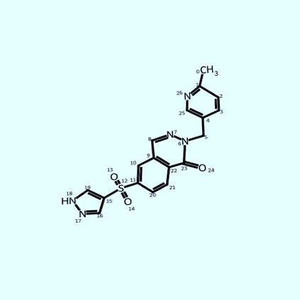 Cc1ccc(Cn2ncc3cc(S(=O)(=O)c4cn[nH]c4)ccc3c2=O)cn1